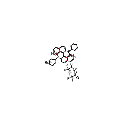 Cc1cccc(P(c2ccccc2)c2ccccc2)c1-c1c(C)cccc1P(c1ccccc1)c1ccccc1.O=C([O-])C(F)(F)F.O=C([O-])C(F)(F)F.[Ru+2]